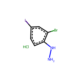 Cl.NNc1ccc(I)cc1Br